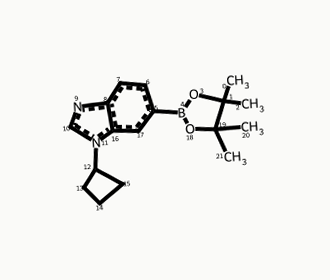 CC1(C)OB(c2ccc3ncn(C4CCC4)c3c2)OC1(C)C